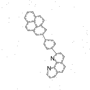 c1cnc2c(c1)ccc1ccc(-c3ccc(-c4cc5ccc6cccc7ccc(c4)c5c67)cc3)nc12